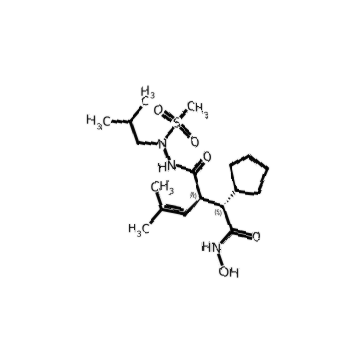 CC(C)=C[C@@H](C(=O)NN(CC(C)C)S(C)(=O)=O)[C@@H](C(=O)NO)C1CCCC1